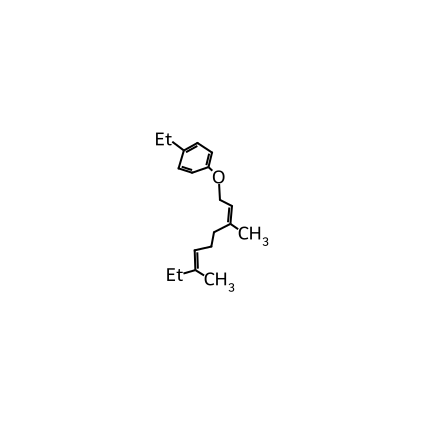 CCC(C)=CCCC(C)=CCOc1ccc(CC)cc1